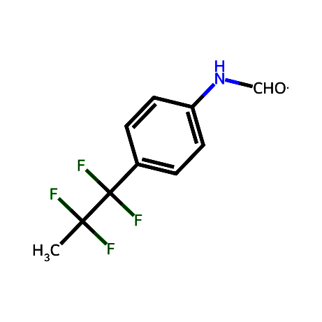 CC(F)(F)C(F)(F)c1ccc(N[C]=O)cc1